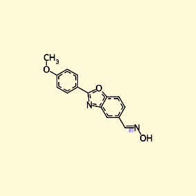 COc1ccc(-c2nc3cc(/C=N/O)ccc3o2)cc1